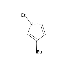 CCC(C)c1ccn(CC)c1